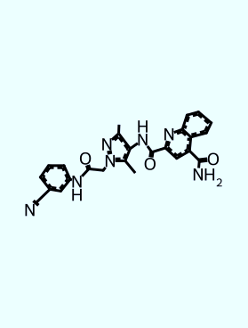 Cc1nn(CC(=O)Nc2cccc(C#N)c2)c(C)c1NC(=O)c1cc(C(N)=O)c2ccccc2n1